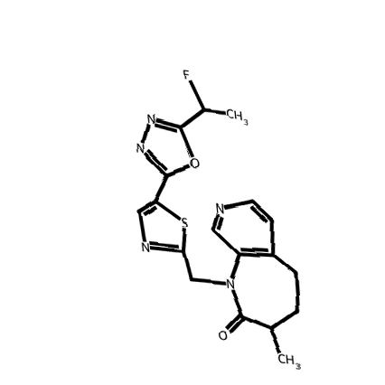 CC1CCc2ccncc2N(Cc2ncc(-c3nnc(C(C)F)o3)s2)C1=O